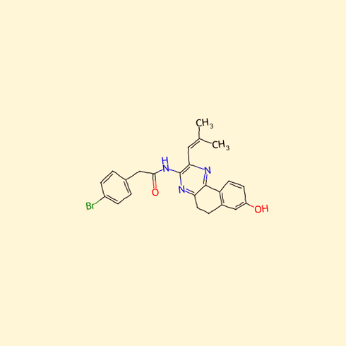 CC(C)=Cc1nc2c(nc1NC(=O)Cc1ccc(Br)cc1)CCc1cc(O)ccc1-2